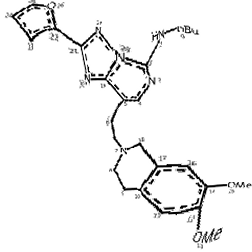 CCCCNc1ncc(CN2CCc3cc(OC)c(OC)cc3C2)c2nc(-c3ccco3)nn12